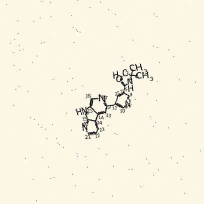 CC(C)(C)NC(=O)c1cncc(-c2cc3c(cn2)[nH]c2ncccc23)c1